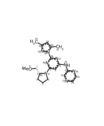 COC[C@H]1CCCN1c1cc(Nc2cnccn2)nc(-n2nc(C)cc2C)n1